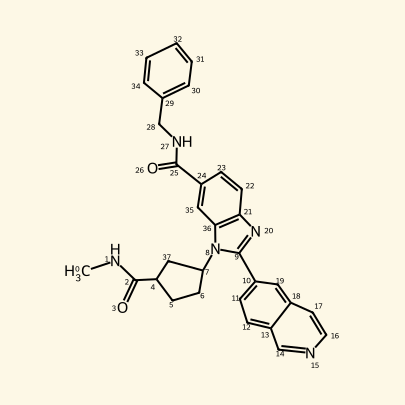 CNC(=O)C1CCC(n2c(-c3ccc4cnccc4c3)nc3ccc(C(=O)NCc4ccccc4)cc32)C1